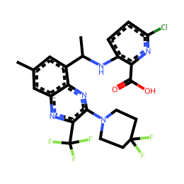 Cc1cc(C(C)Nc2ccc(Cl)nc2C(=O)O)c2nc(N3CCC(F)(F)CC3)c(C(F)(F)F)nc2c1